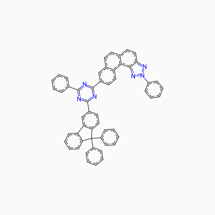 c1ccc(-c2nc(-c3ccc4c(c3)-c3ccccc3C4(c3ccccc3)c3ccccc3)nc(-c3ccc4c(ccc5ccc6nn(-c7ccccc7)nc6c54)c3)n2)cc1